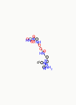 CC1(c2ccc(-n3c(-c4cccnc4N)nc4ccc(-c5cccc(CCNC(=O)CCOCCOCCNc6cccc7c6C(=O)N(C6CCC(=O)NC6=O)C7=O)c5)nc43)cc2)CCC1